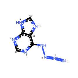 [N-]=[N+]=NNc1ncnc2[nH]cnc12